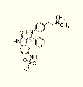 CN(C)CCc1ccc(N/C(=C2\C(=O)Nc3ccc(NS(=O)(=O)C4CC4)cc32)c2ccccc2)cc1